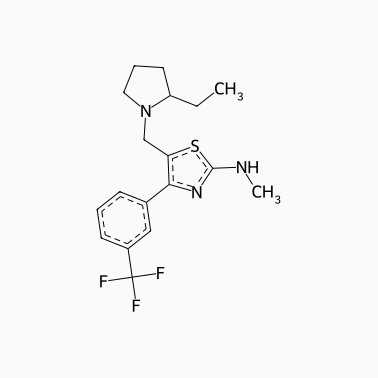 CCC1CCCN1Cc1sc(NC)nc1-c1cccc(C(F)(F)F)c1